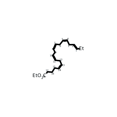 CC/C=C/C/C=C\C/C=C\C/C=C\C/C=C\CCCC(=O)OCC